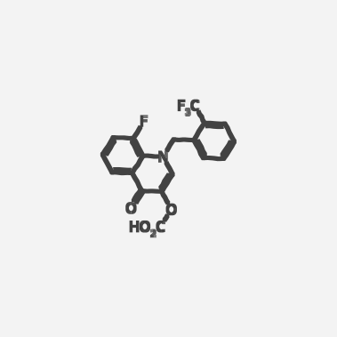 O=C(O)Oc1cn(Cc2ccccc2C(F)(F)F)c2c(F)cccc2c1=O